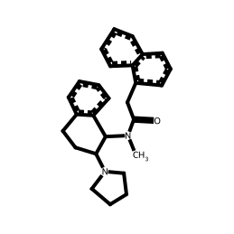 CN(C(=O)Cc1cccc2ccccc12)C1c2ccccc2CCC1N1CCCC1